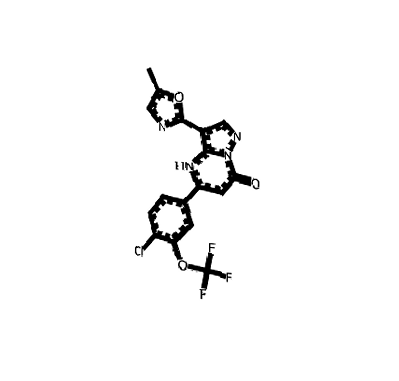 Cc1cnc(-c2cnn3c(=O)cc(-c4ccc(Cl)c(OC(F)(F)F)c4)[nH]c23)o1